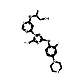 CC(CO)Nc1cc(-n2nc(Nc3ccc(N4CCOCC4)cc3F)nc2N)ncn1